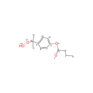 CCCC(=O)Oc1ccc(C(C)(C)OO)cc1